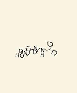 O=C(O)n1ccc2c(-c3nc(CNCCC(c4ccccc4)c4ccccc4)co3)cccc21